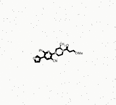 COCCC(=O)N1CCN(c2nc(C(C)C)c(-c3ccoc3)cc2C#N)C[C@H]1C